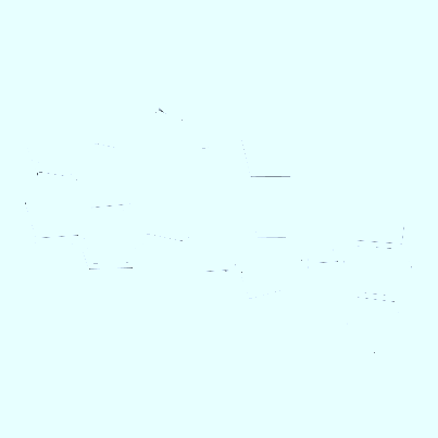 CCCCC(C)C(=O)OCN1C(=O)CCc2ccc(CCN3CCN(c4cc(F)cc5sccc45)CC3)cc21